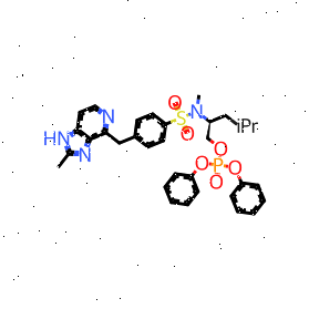 Cc1nc2c(Cc3ccc(S(=O)(=O)N(C)[C@H](COP(=O)(Oc4ccccc4)Oc4ccccc4)CC(C)C)cc3)nccc2[nH]1